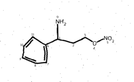 NC([CH]CO[N+](=O)[O-])c1ccccc1